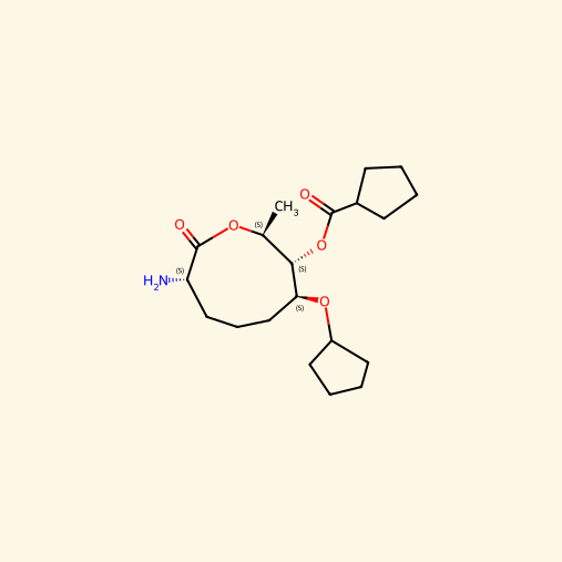 C[C@@H]1OC(=O)[C@@H](N)CCC[C@H](OC2CCCC2)[C@H]1OC(=O)C1CCCC1